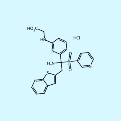 Cl.NC(Cc1cc2ccccc2s1)(c1cccc(NCC(=O)O)n1)S(=O)(=O)c1cccnc1